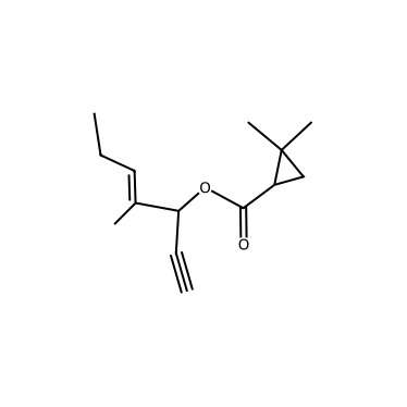 C#CC(OC(=O)C1CC1(C)C)C(C)=CCC